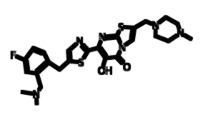 CN(C)Cc1cc(F)ccc1Cc1cnc(-c2nc3sc(CN4CCN(C)CC4)cn3c(=O)c2O)s1